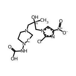 C[C@](O)(CN1CCN(NC(=O)O)CC1)Cn1cc([N+](=O)[O-])nc1Cl